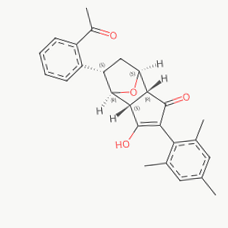 CC(=O)c1ccccc1[C@@H]1C[C@@H]2O[C@H]1[C@H]1C(O)=C(c3c(C)cc(C)cc3C)C(=O)[C@H]12